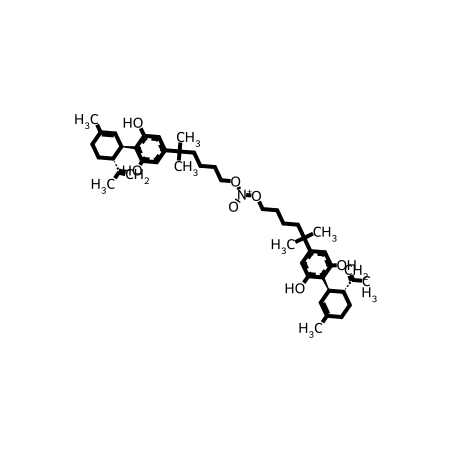 C=C(C)[C@@H]1CCC(C)=C[C@H]1c1c(O)cc(C(C)(C)CCCCO[N+](=O)OCCCCC(C)(C)c2cc(O)c([C@@H]3C=C(C)CC[C@H]3C(=C)C)c(O)c2)cc1O